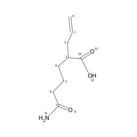 C=CCC(CCCC(N)=O)C(=O)O